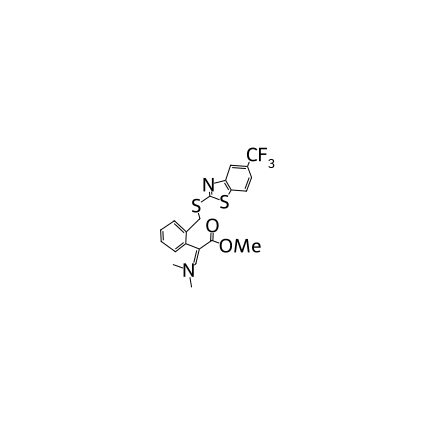 COC(=O)/C(=C/N(C)C)c1ccccc1CSc1nc2cc(C(F)(F)F)ccc2s1